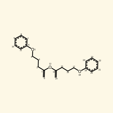 C=C(CCCOc1ccccc1)OC(=C)CCCOc1ccccc1